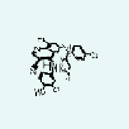 N#Cc1cnc2c(Cl)cc(N[C@@H](c3ccc(Cl)cc3)c3c[nH]nn3)cc2c1Nc1ccc(O)c(Cl)c1